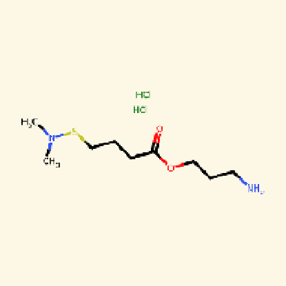 CN(C)SCCCC(=O)OCCCN.Cl.Cl